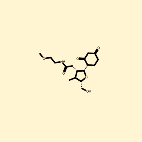 COCCNC(=O)C[C@H]1C(C)[C@@H](CO)O[C@H]1C1CCC(=O)CC1=O